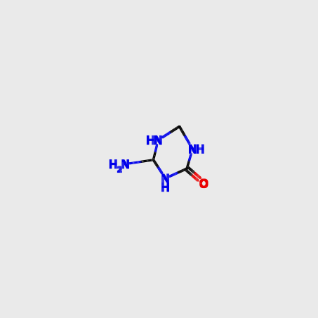 NC1NCNC(=O)N1